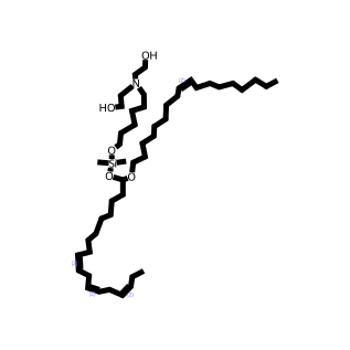 CC/C=C\C/C=C\C/C=C\CCCCCCCC(OCCCCCCCC/C=C\CCCCCCCC)O[Si](C)(C)OCCCCCCN(CCO)CCO